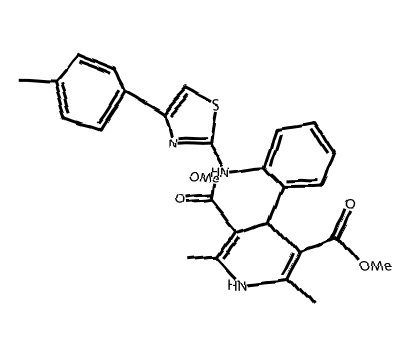 COC(=O)C1=C(C)NC(C)=C(C(=O)OC)C1c1ccccc1Nc1nc(-c2ccc(C)cc2)cs1